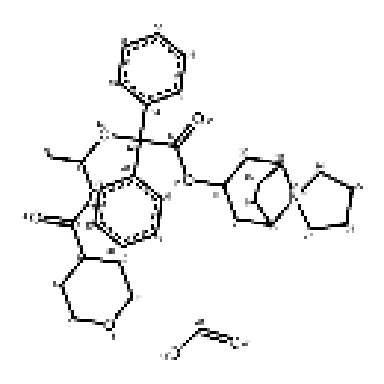 CC(OC(=O)C1CCOCC1)OC(C(=O)OC1CC2CCC(C1)[N+]21CCCC1)(c1ccccc1)c1ccccc1.O=C[O-]